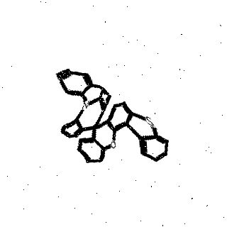 c1ccc2c(c1)Oc1c(ccc3sc4ccccc4c13)C21c2ccccc2-n2c3ccccc3c3cccc1c32